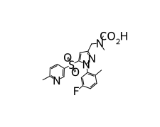 Cc1ccc(S(=O)(=O)c2cc(CN(C)C(=O)O)nn2-c2cc(F)ccc2C)cn1